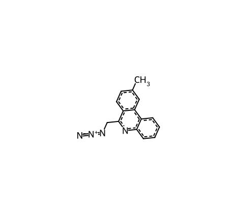 Cc1ccc2c(CN=[N+]=[N-])nc3ccccc3c2c1